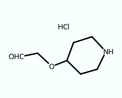 Cl.O=CCOC1CCNCC1